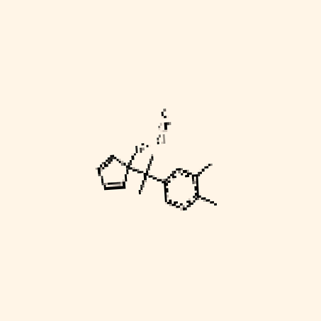 Cc1ccc(C(C)(C)[C]2([Ti+3])C=CC=C2)cc1C.[Cl-].[Cl-].[Cl-]